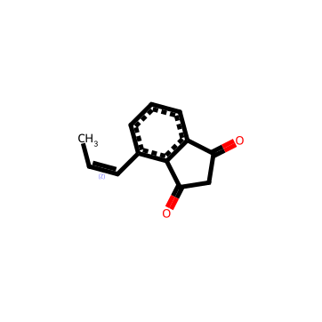 C/C=C\c1cccc2c1C(=O)CC2=O